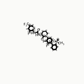 CP(C)(=O)c1ccccc1-c1ccc(N2CCC[C@@H](NC(=O)Nc3ncc(C(F)(F)F)cc3F)C2=O)c(F)c1F